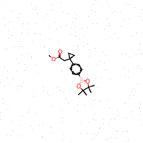 COC(=O)CC1(c2ccc(B3OC(C)(C)C(C)(C)O3)cc2)CC1